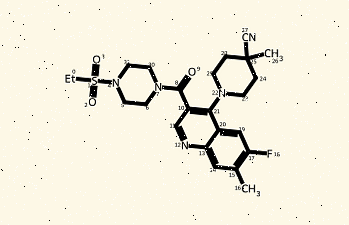 CCS(=O)(=O)N1CCN(C(=O)c2cnc3cc(C)c(F)cc3c2N2CCC(C)(C#N)CC2)CC1